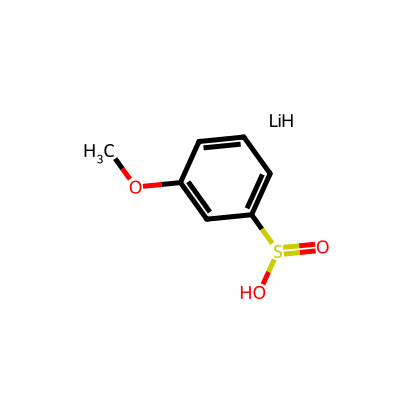 COc1cccc(S(=O)O)c1.[LiH]